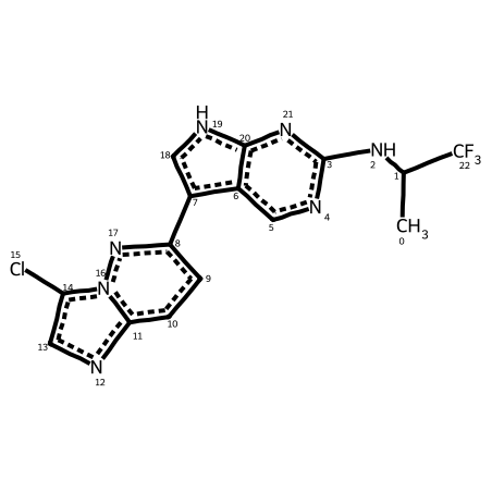 CC(Nc1ncc2c(-c3ccc4ncc(Cl)n4n3)c[nH]c2n1)C(F)(F)F